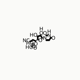 N#CCCC(OP(=O)(O)O)[C@H]1O[C@@H](n2ccc(=O)[nH]c2=O)[C@H](O)[C@@H]1O